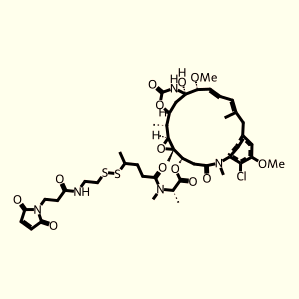 COc1cc2cc(c1Cl)N(C)C(=O)C[C@H](OC(=O)[C@H](C)N(C)C(=O)CCC(C)SSCCNC(=O)CCN1C(=O)C=CC1=O)[C@]1(C)O[C@H]1[C@H](C)[C@@H]1C[C@@](O)(NC(=O)O1)[C@H](OC)/C=C/C=C(\C)C2